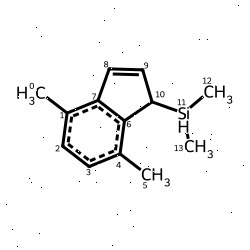 Cc1ccc(C)c2c1C=CC2[SiH](C)C